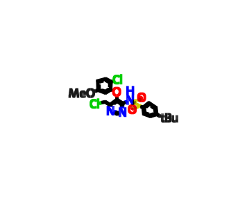 COc1ccc(Cl)c(Oc2c(CCl)ncnc2NS(=O)(=O)c2ccc(C(C)(C)C)cc2)c1